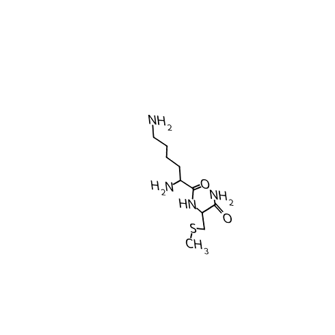 CSCC(NC(=O)C(N)CCCCN)C(N)=O